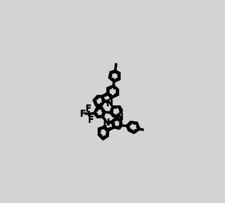 Cc1ccc(-c2ccc3c(c2)c2ccccc2n3-c2ccncc2-c2ccc(C(F)(F)F)cc2-n2c3ccccc3c3cc(-c4ccc(C)cc4)ccc32)cc1